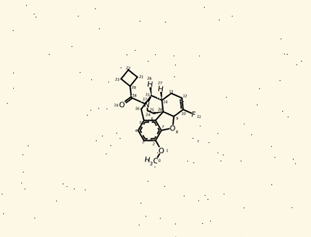 COc1ccc2c3c1OC1C(F)=CC[C@H]4[C@@H](C2)N(C(=O)C2CCC2)CC[C@]314